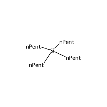 [CH2]CCCC[Si](CCCCC)(CCCCC)CCCCC